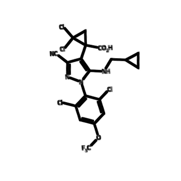 N#Cc1nn(-c2c(Cl)cc(OC(F)(F)F)cc2Cl)c(NCC2CC2)c1C1(C(=O)O)CC1(Cl)Cl